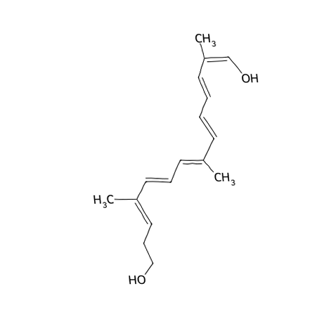 CC(C=CC=CC(C)=CC=CC(C)=CCCO)=CO